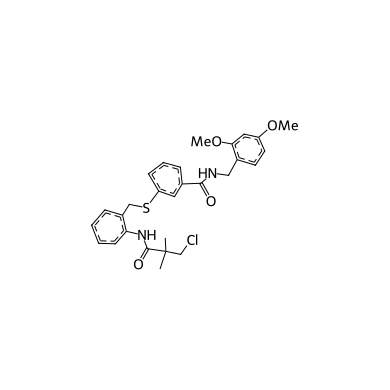 COc1ccc(CNC(=O)c2cccc(SCc3ccccc3NC(=O)C(C)(C)CCl)c2)c(OC)c1